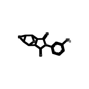 O=C1C2C3OC(C4OC43)C2C(=O)N1c1cccc(C(F)(F)F)c1